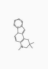 CN1CC(C)(C)CC2=C1C=CC1C2=Cc2ccccc21